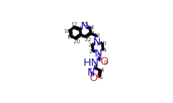 O=C(Nc1ccon1)N1CCN(Cc2cnc3ccccc3c2)CC1